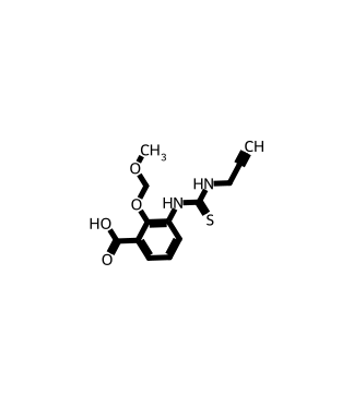 C#CCNC(=S)Nc1cccc(C(=O)O)c1OCOC